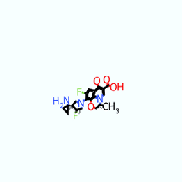 C[C@H]1COc2c(N3C[C@H](F)[C@@H](C4(N)CC4)C3)c(F)cc3c(=O)c(C(=O)O)cn1c23